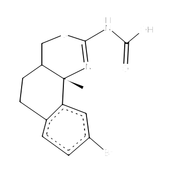 C[C@]12N=C(NC(=O)O)SCC1CCc1ccc(Br)cc12